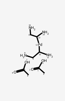 CC(=O)O.CC(=O)O.NC[CH](N)[Pd][CH](N)CN